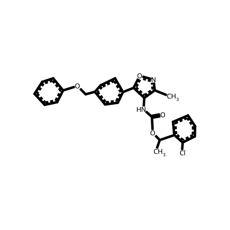 Cc1noc(-c2ccc(COc3ccccc3)cc2)c1NC(=O)OC(C)c1ccccc1Cl